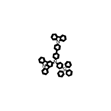 C1=CCCC([Si](C2=CC=C(N(c3ccc(-c4ccc(-n5c6ccccc6c6ccccc65)cc4)cc3)c3cc4c5ccccc5n5c6ccccc6c(c3)c45)CC2)(c2ccccc2)c2ccccc2)=C1